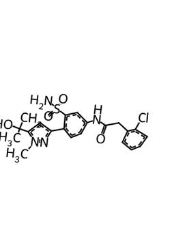 Cn1nc(-c2ccc(NC(=O)Cc3ccccc3Cl)cc2S(N)(=O)=O)cc1C(C)(C)O